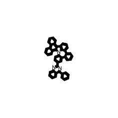 c1ccc(-c2nc(-c3ccc4c(c3)-c3ccccc3-c3cccc5c6c7ccccc7c7ccccc7c6n-4c35)nc3ccccc23)cc1